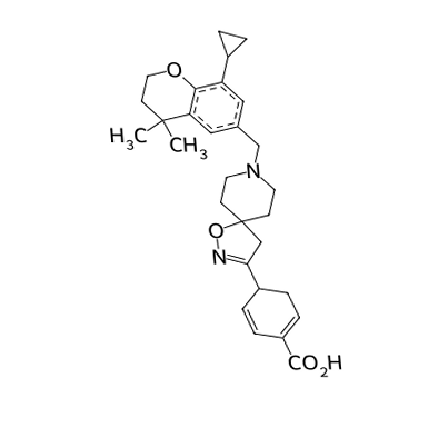 CC1(C)CCOc2c(C3CC3)cc(CN3CCC4(CC3)CC(C3C=CC(C(=O)O)=CC3)=NO4)cc21